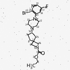 CCOC(=O)N1CC2(CC[C@@H](N3CCN(c4cc(F)cnc4Br)CC3)C2)C1